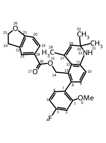 COc1cc(F)ccc1-c1ccc2c(c1COC(=O)c1ccc3c(c1)CCO3)C(C)=CC(C)(C)N2